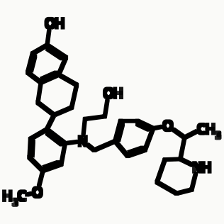 COc1ccc(C2CCc3cc(O)ccc3C2)c(N(CCO)Cc2ccc(OC(C)C3CCCCN3)cc2)c1